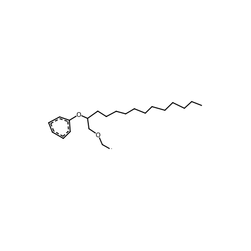 [CH2]COCC(CCCCCCCCCCCC)Oc1ccccc1